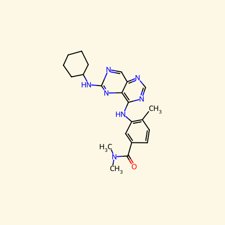 Cc1ccc(C(=O)N(C)C)cc1Nc1ncnc2cnc(NC3CCCCC3)nc12